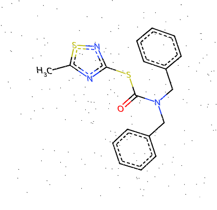 Cc1nc(SC(=O)N(Cc2ccccc2)Cc2ccccc2)ns1